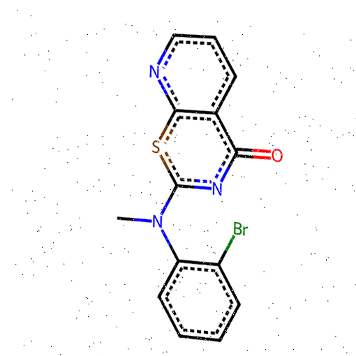 CN(c1nc(=O)c2cccnc2s1)c1ccccc1Br